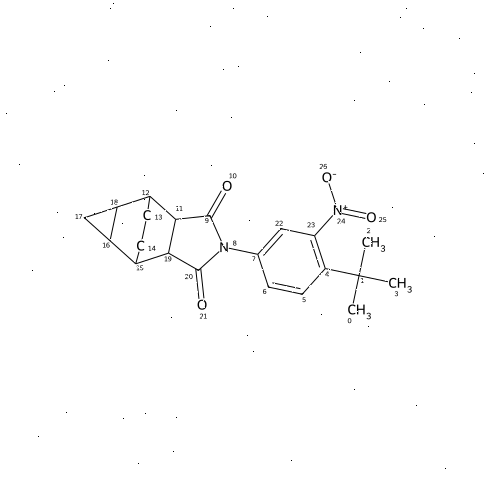 CC(C)(C)c1ccc(N2C(=O)C3C4CCC(C5CC54)C3C2=O)cc1[N+](=O)[O-]